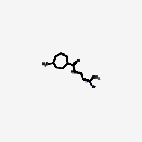 C/C(=C\CNC(=O)C1CCCC(C)CC1)C(C)C